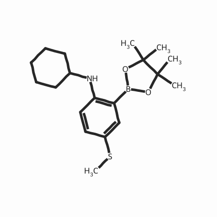 CSc1ccc(NC2CCCCC2)c(B2OC(C)(C)C(C)(C)O2)c1